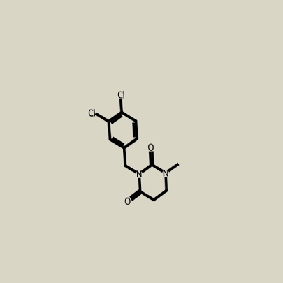 CN1CCC(=O)N(Cc2ccc(Cl)c(Cl)c2)C1=O